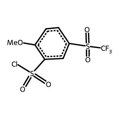 COc1ccc(S(=O)(=O)C(F)(F)F)cc1S(=O)(=O)Cl